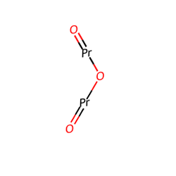 [O]=[Pr][O][Pr]=[O]